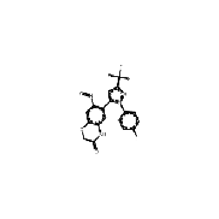 O=Nc1cc2c(cc1-c1cc(C(F)(F)F)nn1-c1ccc(F)cc1)NC(=O)CO2